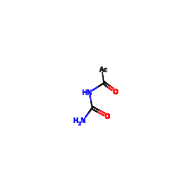 CC(=O)C(=O)NC(N)=O